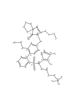 CCCCC1=NC2(CCCC2)C(=O)N1Cc1ccc(-c2ccccc2S(=O)(=O)N(COCC[Si](C)(C)C)c2onc(C)c2C)c(CCF)c1